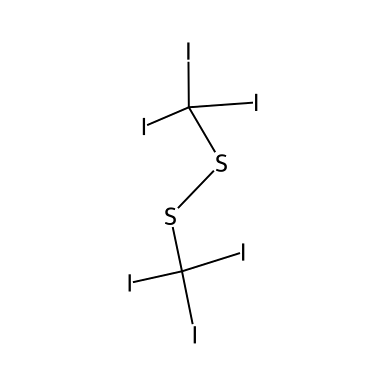 IC(I)(I)SSC(I)(I)I